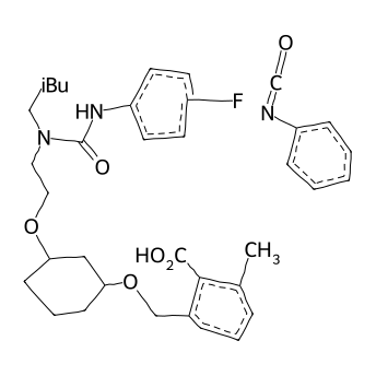 CCC(C)CN(CCOC1CCCC(OCc2cccc(C)c2C(=O)O)C1)C(=O)Nc1ccc(F)cc1.O=C=Nc1ccccc1